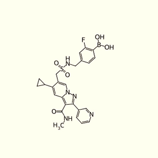 CNC(=O)c1c(-c2cccnc2)nn2cc(CS(=O)(=O)NCc3ccc(B(O)O)c(F)c3)c(C3CC3)cc12